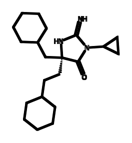 N=C1N[C@](CCC2CCCCC2)(CC2CCCCC2)C(=O)N1C1CC1